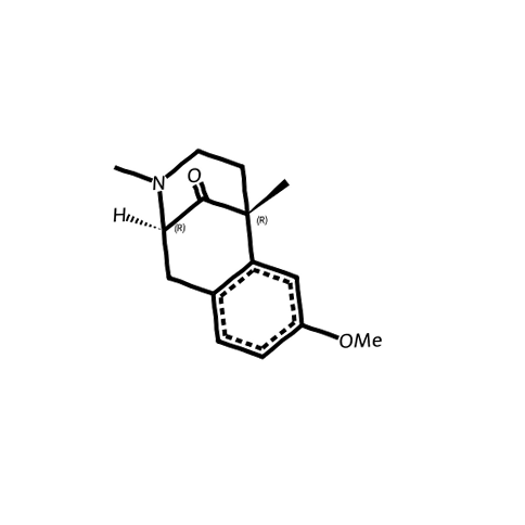 COc1ccc2c(c1)[C@@]1(C)CCN(C)[C@H](C2)C1=O